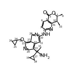 C[C@@H]1OC(=O)c2ccc(Nc3cc4c(C(C)(N)C5CC5)cnc(OC5CC5)c4cn3)nc2[C@@H]1C